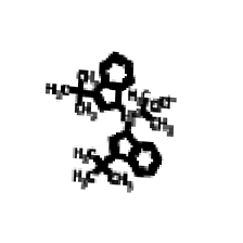 C[C](C)=[Hf+2]([CH]1C=C(C(C)(C)C)c2ccccc21)[CH]1C=C(C(C)(C)C)c2ccccc21.[Cl-].[Cl-]